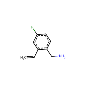 C=Cc1cc(F)ccc1CN